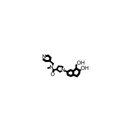 CN(Cc1ccncc1)C(=O)C1CCN(c2ccc3ccc(O)c(CO)c3c2)C1